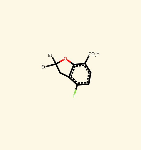 CCC1(CC)Cc2c(F)ccc(C(=O)O)c2O1